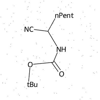 CCCCCC(C#N)NC(=O)OC(C)(C)C